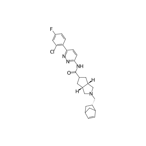 O=C(Nc1ccc(-c2ccc(F)cc2Cl)nn1)C1C[C@@H]2CN(C[C@H]3CC4C=CC3C4)C[C@@H]2C1